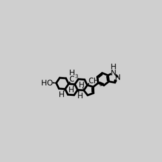 C[C@]12CC[C@H](O)C[C@@H]1CC[C@@H]1[C@@H]2CC[C@]2(C)C(c3ccc4[nH]ncc4c3)=CC[C@@H]12